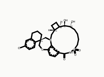 O=C1NS(=O)(=O)CCCC[C@@H](O)[C@H](O)[C@@H]2CC[C@H]2CN2C[C@@]3(CCCc4cc(Cl)ccc43)COc3ccc1cc32